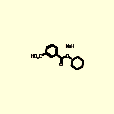 O=C(O)c1cccc(C(=O)ON2CCCCC2)c1.[NaH]